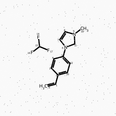 C=Cc1ccc(N2C=CN(C)C2)cc1.FC(F)F